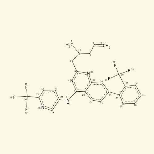 C=CCN(C)Cc1nc(Nc2ccc(C(F)(F)F)nc2)c2ccc(-c3ncccc3C(F)(F)F)cc2n1